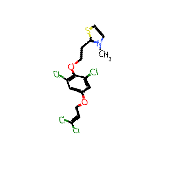 CN1C=CSC1CCOc1c(Cl)cc(OCC=C(Cl)Cl)cc1Cl